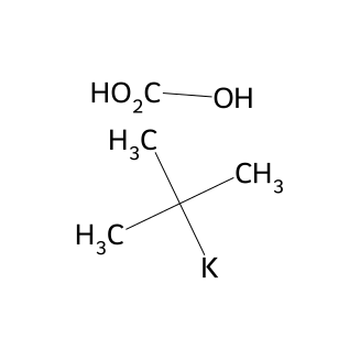 C[C](C)(C)[K].O=C(O)O